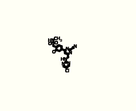 CNS(=O)(=O)CC1=CC=C(c2cc(CNc3ncc(Cl)cn3)nc(C#N)n2)CC1=O